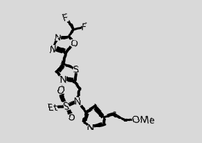 CCS(=O)(=O)N(Cc1ncc(-c2nnc(C(F)F)o2)s1)c1cncc(CCOC)c1